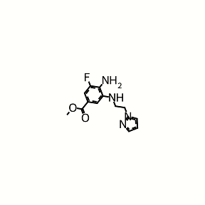 COC(=O)c1cc(F)c(N)c(NCCn2cccn2)c1